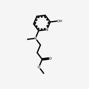 COC(=O)CCN(C)c1cccc(O)n1